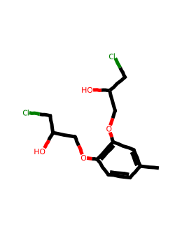 Cc1ccc(OCC(O)CCl)c(OCC(O)CCl)c1